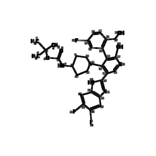 CC(C)(C)OC(=O)NC1CCN(c2c(-c3nc4cc(F)c(F)cc4[nH]3)cnc(O)c2-c2cc(F)ccc2CO)CC1